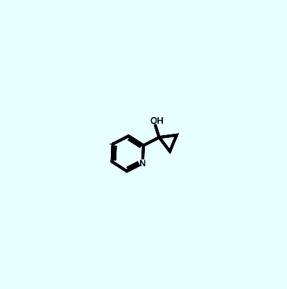 OC1(c2c[c]ccn2)CC1